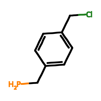 PCc1ccc(CCl)cc1